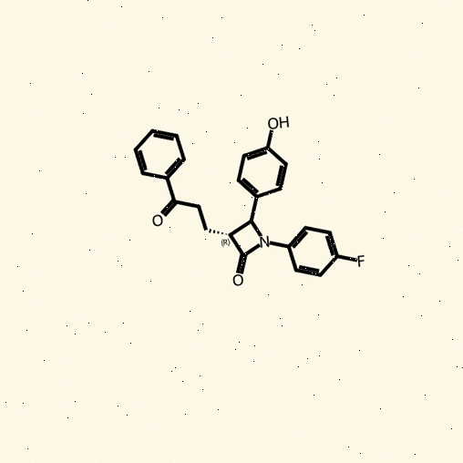 O=C(CC[C@H]1C(=O)N(c2ccc(F)cc2)C1c1ccc(O)cc1)c1ccccc1